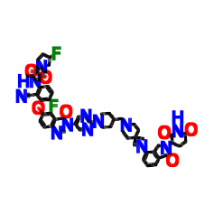 N#Cc1c(NS(=O)(=O)N2CC[C@@H](F)C2)ccc(F)c1Oc1ccc2ncn(-c3cnc(N4CCC(CN5CCC6(CC5)CN(c5cccc7c5CN(C5CCC(=O)NC5=O)C7=O)C6)CC4)nc3)c(=O)c2c1